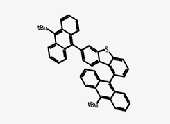 CC(C)(C)c1c2ccccc2c(-c2ccc3c(c2)sc2cccc(-c4c5ccccc5c(C(C)(C)C)c5ccccc45)c23)c2ccccc12